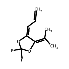 C=C/C=C1/OC(F)(F)OC1=C(C)C